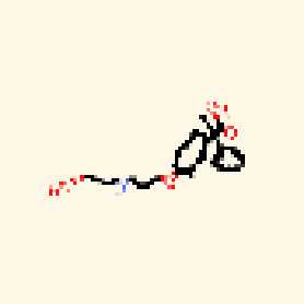 CC(C(=O)O)(c1ccccc1)c1ccc(OCCCNCCCO)cc1